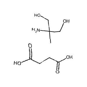 CC(N)(CO)CO.O=C(O)CCC(=O)O